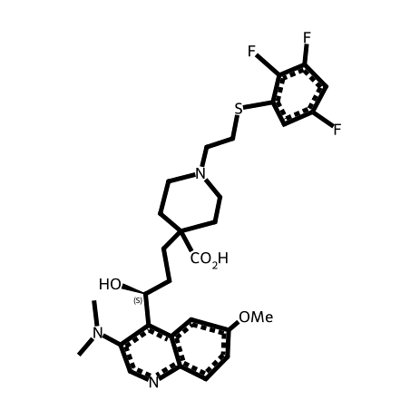 COc1ccc2ncc(N(C)C)c([C@@H](O)CCC3(C(=O)O)CCN(CCSc4cc(F)cc(F)c4F)CC3)c2c1